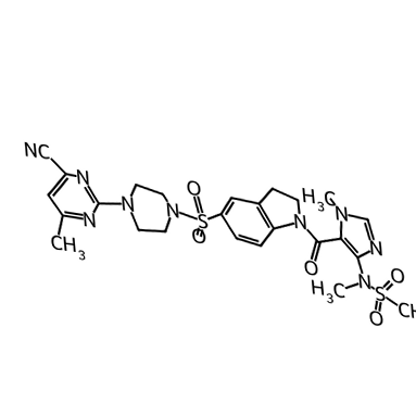 Cc1cc(C#N)nc(N2CCN(S(=O)(=O)c3ccc4c(c3)CCN4C(=O)c3c(N(C)S(C)(=O)=O)ncn3C)CC2)n1